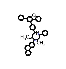 CCC1CC(c2ccc(-c3cc(-c4ccccc4)cc4oc5ccccc5c34)cc2)/N=C(/c2ccccc2)C/C(C)=C\1c1ccc2c(ccc3ccccc32)c1